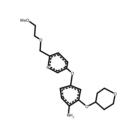 COCCOCc1ccc(Oc2ccc(N)c(OC3CCOCC3)c2)cn1